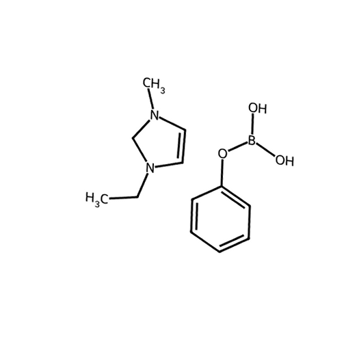 CCN1C=CN(C)C1.OB(O)Oc1ccccc1